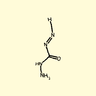 [H]/N=N/C(=O)NN